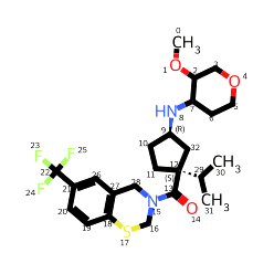 COC1COCCC1N[C@@H]1CC[C@@](C(=O)N2CSc3ccc(C(F)(F)F)cc3C2)(C(C)C)C1